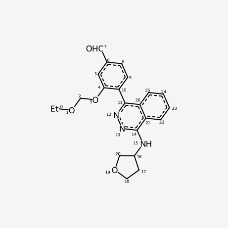 CCOCOc1cc(C=O)ccc1-c1nnc(NC2CCOC2)c2ccccc12